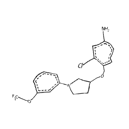 Nc1ccc(OC2CCN(c3cccc(OC(F)(F)F)c3)C2)c(Cl)c1